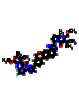 COCN[C@H](C(=O)N1[C@@H](C)CC[C@H]1c1nc2ccc3cc4c(cc3c2[nH]1)OCc1cc(-c2cnc([C@@H]3C[C@H](F)CN3C(=O)[C@@H](NC(=O)OC)C(C)C)[nH]2)ccc1-4)C(C)C